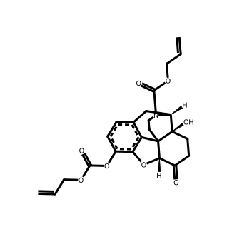 C=CCOC(=O)Oc1ccc2c3c1O[C@H]1C(=O)CC[C@@]4(O)[C@@H](C2)N(C(=O)OCC=C)CCC314